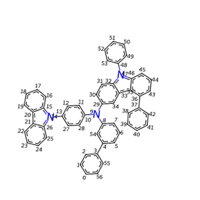 c1ccc(-c2cccc(N(c3ccc(-n4c5ccccc5c5ccccc54)cc3)c3ccc4c(c3)c3c(-c5ccccc5)cccc3n4-c3ccccc3)c2)cc1